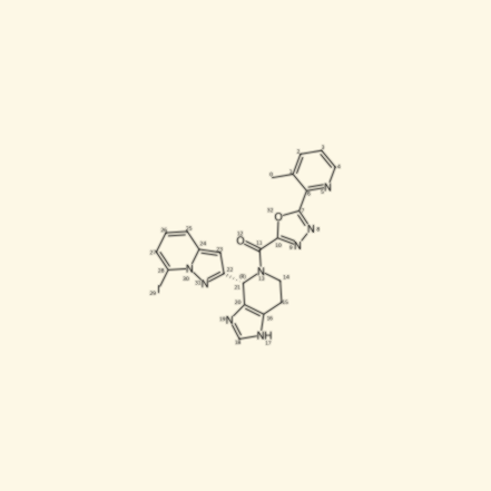 Cc1cccnc1-c1nnc(C(=O)N2CCc3[nH]cnc3[C@@H]2c2cc3cccc(I)n3n2)o1